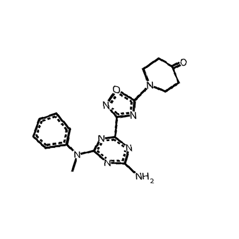 CN(c1ccccc1)c1nc(N)nc(-c2noc(N3CCC(=O)CC3)n2)n1